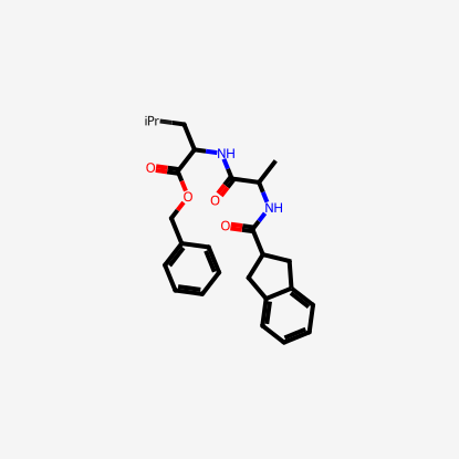 CC(C)CC(NC(=O)C(C)NC(=O)C1Cc2ccccc2C1)C(=O)OCc1ccccc1